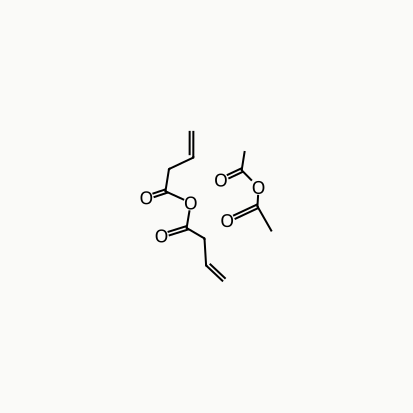 C=CCC(=O)OC(=O)CC=C.CC(=O)OC(C)=O